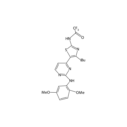 CCC(C)c1nc(NC(=O)C(F)(F)F)sc1-c1ccnc(Nc2cc(OC)ccc2OC)n1